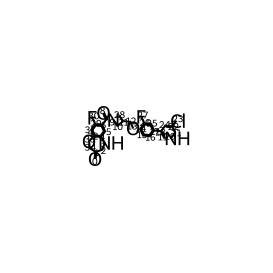 O=C1CNc2cc(C(=O)N3CC(COc4ccc(C5=CNCC(Cl)=C5)cc4F)C3)c(F)cc2OC1